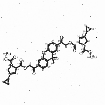 CC(C)(C)OC(=O)N1CC(C2CC2)=CC1C(=O)OCC(=O)c1ccc2c(c1)Oc1ccc(C(=O)COC(=O)[C@@H]3C=C(C4CC4)CN3C(=O)OC(C)(C)C)cc1C2(C)C